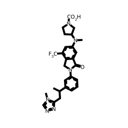 CC(Cc1nncn1C)c1cccc(N2Cc3c(cc(N(C)C4CCN(C(=O)O)C4)cc3C(F)(F)F)C2=O)c1